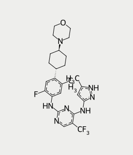 Cc1cc(Nc2nc(Nc3cc(C)c([C@H]4CC[C@H](N5CCOCC5)CC4)cc3F)ncc2C(F)(F)F)n[nH]1